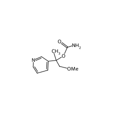 COCC(C)(OC(N)=O)c1cccnc1